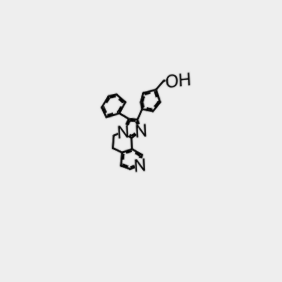 OCc1ccc(-c2nc3n(c2-c2ccccc2)CCc2ccncc2-3)cc1